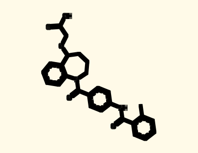 Cc1ccccc1C(=O)Nc1ccc(C(=O)N2CCCC(OCC(=O)O)c3ccccc32)cc1